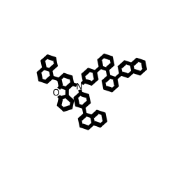 c1ccc(-c2ccccc2-c2ccc3ccccc3c2)c(-c2ccc(N(c3ccc(-c4cccc5ccccc45)cc3)c3ccc(-c4cccc5ccccc45)c4oc5ccccc5c34)cc2)c1